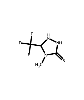 CN1C(=S)NNC1C(F)(F)F